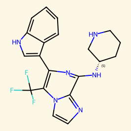 FC(F)(F)c1c(-c2c[nH]c3ccccc23)nc(N[C@H]2CCCNC2)c2nccn12